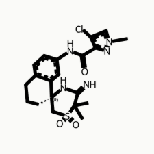 Cn1cc(Cl)c(C(=O)Nc2ccc3c(c2)[C@]2(CCC3)CS(=O)(=O)C(C)(C)C(=N)N2)n1